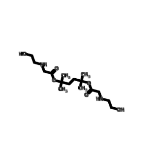 CC(C)(CCC(C)(C)OC(=O)CNCCO)OC(=O)CNCCO